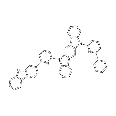 c1ccc(-c2cccc(-n3c4ccccc4c4cc5c(cc43)c3ccccc3n5-c3cccc(-c4ccc5c(c4)oc4ccccc45)n3)n2)cc1